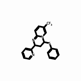 FC(F)(F)C1=CN2C(=NC(c3ccccn3)CC2Sc2ccccc2)C=C1